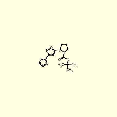 CC(C)(C)OC(=O)N1CCC[C@H]1c1cc(-c2nccs2)no1